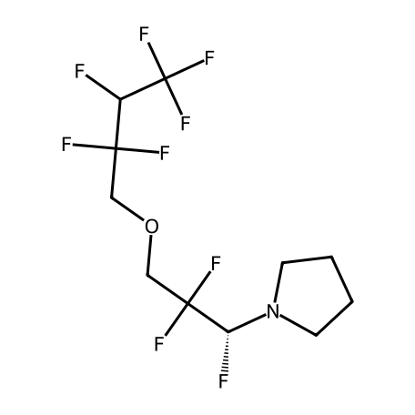 FC(C(F)(F)F)C(F)(F)COCC(F)(F)[C@@H](F)N1CCCC1